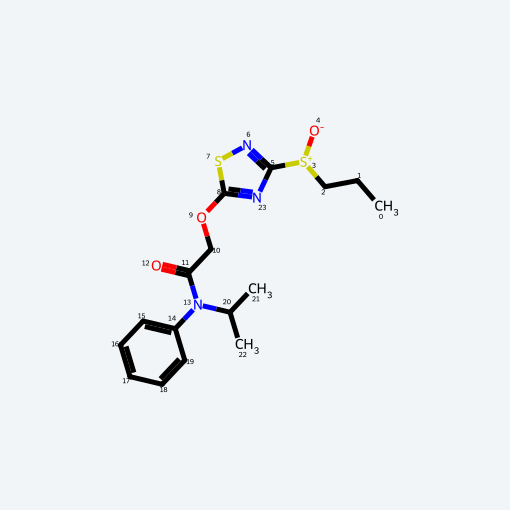 CCC[S+]([O-])c1nsc(OCC(=O)N(c2ccccc2)C(C)C)n1